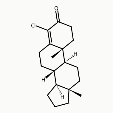 C[C@@]12[CH]CC[C@H]1[C@@H]1CCC3=C(Cl)C(=O)CC[C@]3(C)[C@H]1CC2